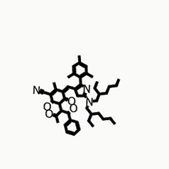 CCCCC(CC)CN(CC(CC)CCCC)C1=NC(c2c(C)cc(C)cc2C)=C(/C=C2\C(=O)C(C(C(C)=O)C(=O)c3ccccc3)C(=O)C(C#N)=C2C)C1